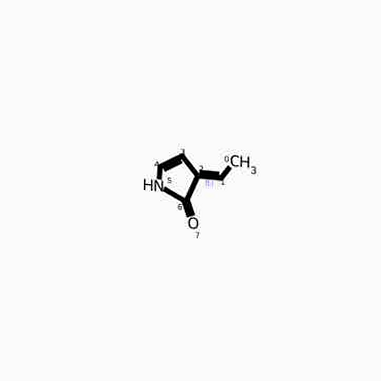 C/C=C1\C=CNC1=O